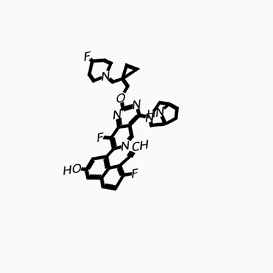 C#Cc1c(F)ccc2cc(O)cc(-c3ncc4c(N5CC6CCC(C5)N6)nc(OCC5(CN6CCC(F)CC6)CC5)nc4c3F)c12